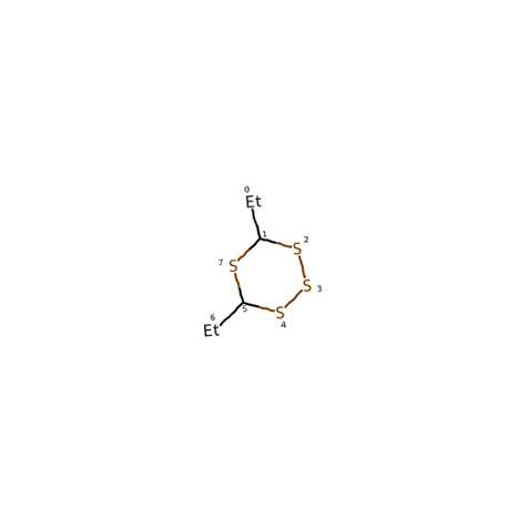 CCC1SSSC(CC)S1